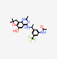 CC(=O)Nc1cc(C(C)Nc2nc(C)nc3c4c(c(O)cc23)OC(C)(C)C4)cc(C(F)(F)F)c1